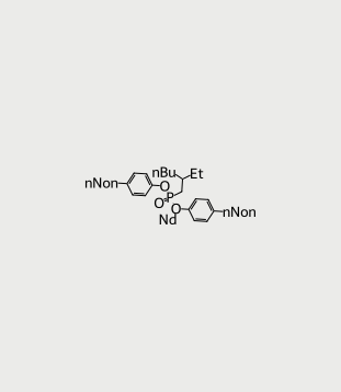 CCCCCCCCCc1ccc(OP(=O)(CC(CC)CCCC)Oc2ccc(CCCCCCCCC)cc2)cc1.[Nd]